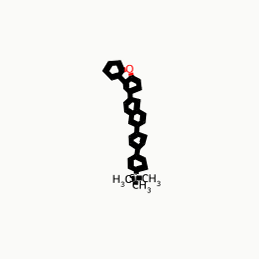 C[Si](C)(C)c1ccc(-c2ccc(-c3ccc4cc(-c5ccc6oc7ccccc7c6c5)ccc4c3)cc2)cc1